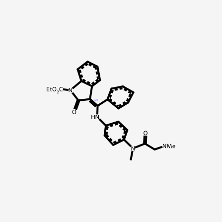 CCOC(=O)N1C(=O)/C(=C(\Nc2ccc(N(C)C(=O)CNC)cc2)c2ccccc2)c2ccccc21